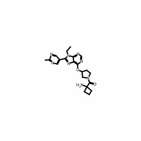 CCn1c(-c2cnc(C)nc2)nc2c(OC3CCN(C(=O)C4(N)CCC4)C3)ncnc21